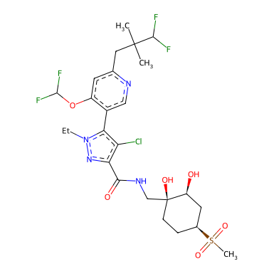 CCn1nc(C(=O)NC[C@@]2(O)CC[C@H](S(C)(=O)=O)C[C@@H]2O)c(Cl)c1-c1cnc(CC(C)(C)C(F)F)cc1OC(F)F